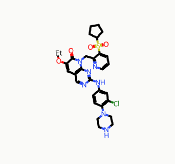 CCOc1cc2cnc(Nc3ccc(N4CCNCC4)c(Cl)c3)nc2n(Cc2ncccc2S(=O)(=O)C2CCCC2)c1=O